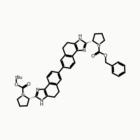 CC(C)(C)OC(=O)N1CCC[C@H]1c1nc2c([nH]1)CCc1cc(-c3ccc4c(c3)CCc3[nH]c([C@@H]5CCCN5C(=O)OCc5ccccc5)nc3-4)ccc1-2